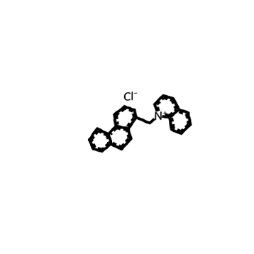 [Cl-].c1ccc2c(c1)ccc1c(C[n+]3cccc4ccccc43)cccc12